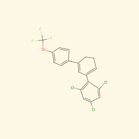 FC(F)(F)Oc1ccc(C2=CC(c3c(Cl)cc(Cl)cc3Cl)=CCC2)cc1